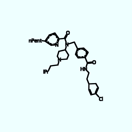 CCCCCc1ccc(C(=O)N(Cc2ccc(C(=O)NCCC3C=CC(Cl)=CC3)cc2)C2CCN(CCC(C)C)CC2)nc1